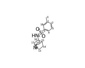 Cc1[c]ccc(S(=O)(=O)NC2CN3CCC2CC3)c1